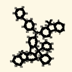 CC1(C)c2ccccc2-c2ccc(N(c3ccc(-c4ccccc4)cc3)c3ccc4c(c3)C(c3ccccc3)(c3ccccc3)c3ccc5c(sc6ccccc65)c3-4)cc21